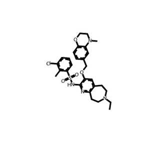 CCN1CCc2cc(OCc3ccc4c(c3)N(C)CCO4)c(NS(=O)(=O)c3cccc(Cl)c3C)nc2CC1